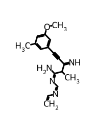 C=C/N=C\N=C(\N)C(C)C(=N)C#Cc1cc(C)cc(OC)c1